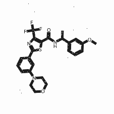 COc1cccc(C(C)NC(=O)c2sc(-c3cccc(N4CCOCC4)c3)nc2C(F)(F)F)c1